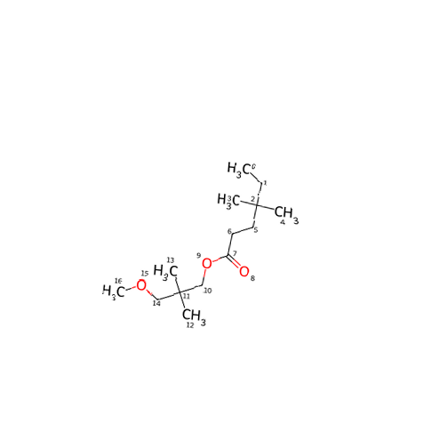 CCC(C)(C)CCC(=O)OCC(C)(C)COC